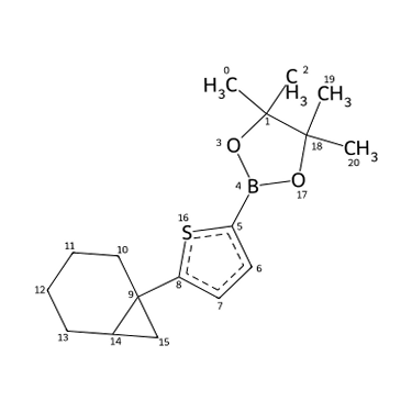 CC1(C)OB(c2ccc(C34CCCCC3C4)s2)OC1(C)C